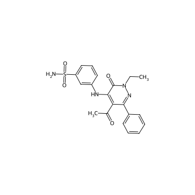 CCn1nc(-c2ccccc2)c(C(C)=O)c(Nc2cccc(S(N)(=O)=O)c2)c1=O